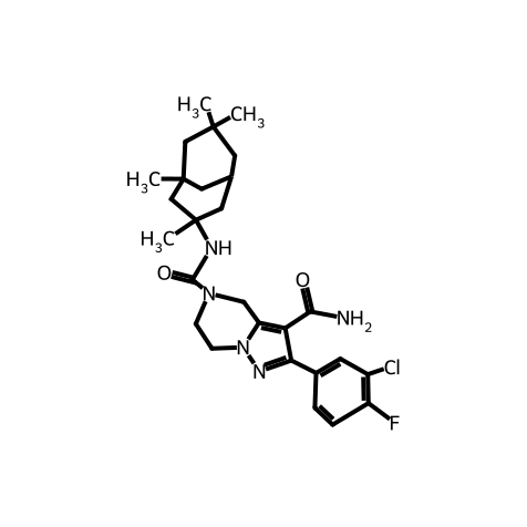 CC1(C)CC2CC(C)(C1)CC(C)(NC(=O)N1CCn3nc(-c4ccc(F)c(Cl)c4)c(C(N)=O)c3C1)C2